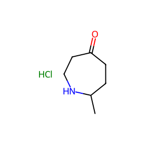 CC1CCC(=O)CCN1.Cl